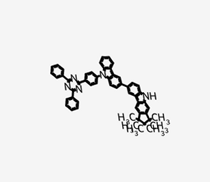 CC1(C)c2cc3[nH]c4ccc(-c5ccc6c(c5)c5ccccc5n6-c5ccc(-c6nc(-c7ccccc7)nc(-c7ccccc7)n6)cc5)cc4c3cc2C(C)(C)C1(C)C